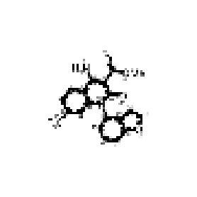 COC(=O)c1c(N)c2ccc(C(F)(F)F)cc2n(-c2cccc3occc23)c1=O